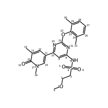 COCCS(=O)(=O)Nc1cc(-c2cc(C)c(=O)n(C)c2)nc(Oc2c(C)cccc2C)n1